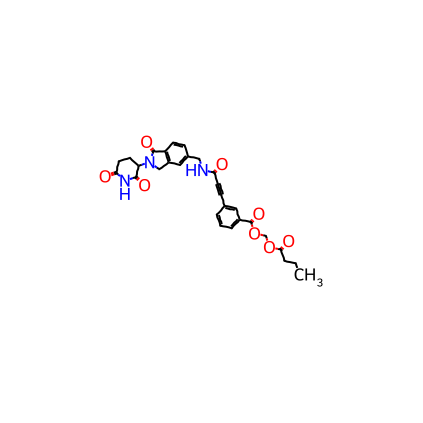 CCCC(=O)OCOC(=O)c1cccc(C#CC(=O)NCc2ccc3c(c2)CN(C2CCC(=O)NC2=O)C3=O)c1